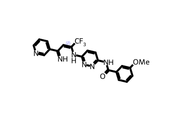 COc1cccc(C(=O)Nc2ccc(N/C(=C\C(=N)c3cccnc3)C(F)(F)F)nn2)c1